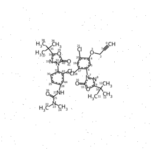 C#CCOc1cc(-n2nc(C(C)(C)C)oc2=O)c(Cl)cc1Cl.CN(C)C(=O)Nc1ccc(-n2nc(C(C)(C)C)oc2=O)c(Cl)c1